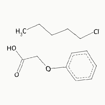 CCCCCCl.O=C(O)COc1ccccc1